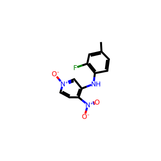 Cc1ccc(Nc2c[n+]([O-])ccc2[N+](=O)[O-])c(F)c1